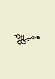 Cc1cccc(-c2cccc(C)c2NC(=O)COCCOCCBr)c1